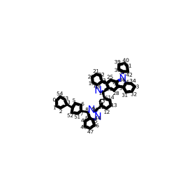 c1ccc(-c2ccc(-c3nc(-c4cccc(-c5nc6ccccc6c6cc7c(cc56)c5ccccc5n7-c5ccccc5)c4)nc4ccccc34)cc2)cc1